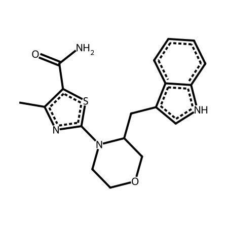 Cc1nc(N2CCOCC2Cc2c[nH]c3ccccc23)sc1C(N)=O